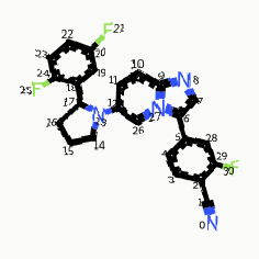 N#Cc1ccc(-c2cnc3ccc(N4CCCC4c4cc(F)ccc4F)cn23)cc1F